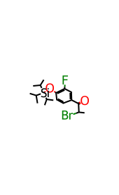 CC(Br)C(=O)c1ccc(O[Si](C(C)C)(C(C)C)C(C)C)c(F)c1